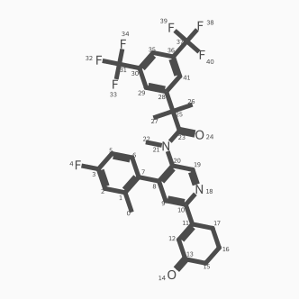 Cc1cc(F)ccc1-c1cc(C2=CC(=O)CCC2)ncc1N(C)C(=O)C(C)(C)c1cc(C(F)(F)F)cc(C(F)(F)F)c1